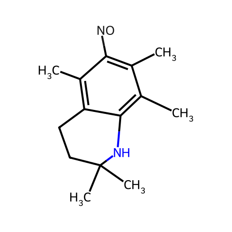 Cc1c(C)c2c(c(C)c1N=O)CCC(C)(C)N2